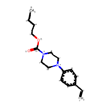 C=Cc1ccc(N2CCN(C(=O)OCCCC)CC2)cc1